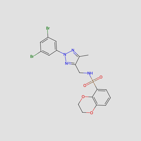 Cc1nn(-c2cc(Br)cc(Br)c2)nc1CNS(=O)(=O)c1cccc2c1OCCO2